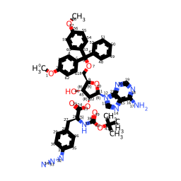 COc1ccc(C(OC[C@H]2O[C@@H](n3cnc4c(N)ncnc43)[C@H](OC(=O)[C@H](Cc3ccc(N=[N+]=[N-])cc3)NC(=O)OC(C)(C)C)[C@@H]2O)(c2ccccc2)c2ccc(OC)cc2)cc1